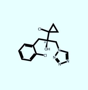 O[C@](Cc1ccccc1Cl)(Cn1cnnn1)C1(Cl)CC1